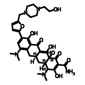 CN(C)c1cc(-c2ccc(CN3CCN(CCO)CC3)o2)c(O)c2c1C[C@@H]1C[C@H]3[C@H](N(C)C)C(O)=C(C(N)=O)C(=O)[C@@]3(O)C(O)=C1C2=O